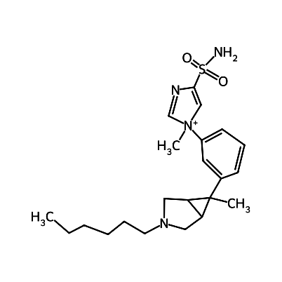 CCCCCCN1CC2C(C1)C2(C)c1cccc([N+]2(C)C=NC(S(N)(=O)=O)=C2)c1